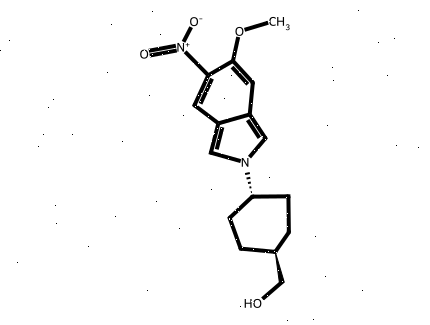 COc1cc2cn([C@H]3CC[C@H](CO)CC3)cc2cc1[N+](=O)[O-]